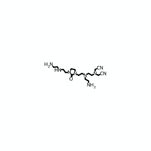 N#CCN(CC#N)CCN(CCN)CCN1CCN(CCNCCN)C1=O